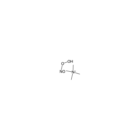 C[N+](C)(C)C.O=NOO